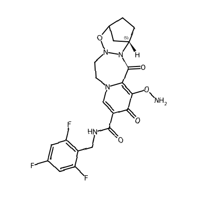 NOc1c2n(cc(C(=O)NCc3c(F)cc(F)cc3F)c1=O)CCN1OC3CC[C@@H](C3)N1C2=O